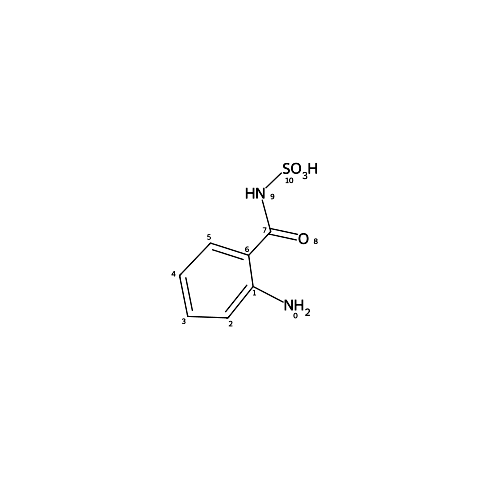 Nc1ccccc1C(=O)NS(=O)(=O)O